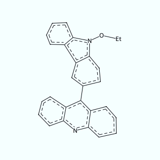 CCOn1c2ccccc2c2cc(-c3c4ccccc4nc4ccccc34)ccc21